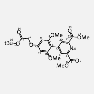 COC(=O)c1cc(-c2c(OC)cc(OCC(=O)OC(C)(C)C)cc2OC)cc(C(=O)OC)n1